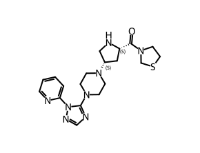 O=C([C@@H]1C[C@H](N2CCN(c3ncnn3-c3ccccn3)CC2)CN1)N1CCSC1